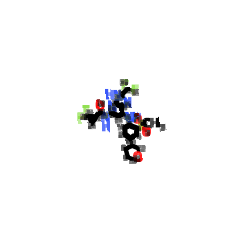 CS(=O)(=O)c1cc([C@@H]2CCCOC2)ccc1Nc1cc(NC(=O)C2CC2(F)F)nc2[nH]c(C(F)F)nc12